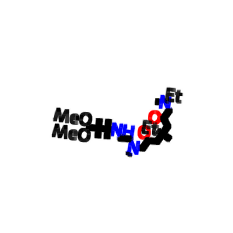 CCN(C)CC(=O)CC(C)(CC)CC(=O)CN(C)CCNC(C)(C)C(C)(C)C(OC)OC